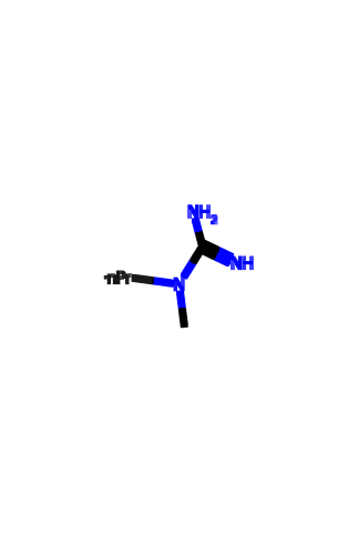 CC[CH]N(C)C(=N)N